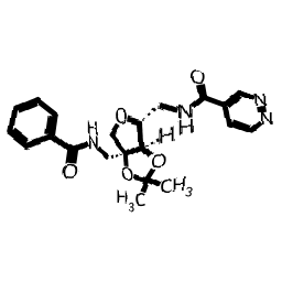 CC1(C)O[C@@H]2[C@@H](CNC(=O)c3ccnnc3)OC[C@]2(CNC(=O)c2ccccc2)O1